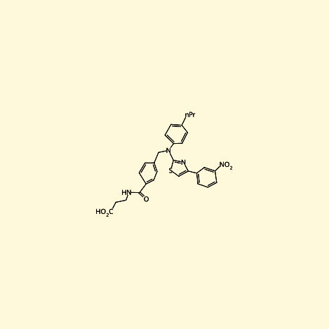 CCCc1ccc(N(Cc2ccc(C(=O)NCCC(=O)O)cc2)c2nc(-c3cccc([N+](=O)[O-])c3)cs2)cc1